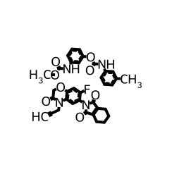 C#CCN1C(=O)COc2cc(F)c(N3C(=O)C4=C(CCCC4)C3=O)cc21.COC(=O)Nc1cccc(OC(=O)Nc2cccc(C)c2)c1